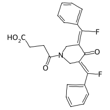 O=C(O)CCC(=O)N1C/C(=C(/F)c2ccccc2)C(=O)/C(=C(\F)c2ccccc2)C1